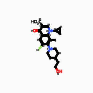 Cc1c(N2CCC(CCO)CC2)c(F)cc2c(=O)c(C(=O)O)cn(C3CC3)c12